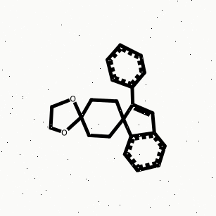 C1=C(c2ccccc2)C2(CCC3(CC2)OCCO3)c2ccccc21